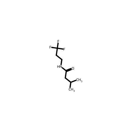 CC(C)CC(=O)NCCC(F)(F)F